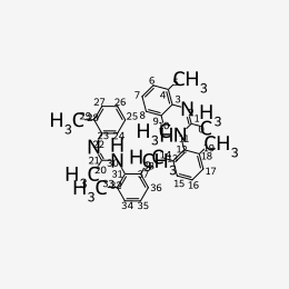 CC(=Nc1c(C)cccc1C)Nc1c(C)cccc1C.CC(=Nc1ccccc1C)Nc1c(C)cccc1C